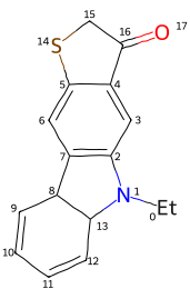 CCN1c2cc3c(cc2C2C=CC=CC21)SCC3=O